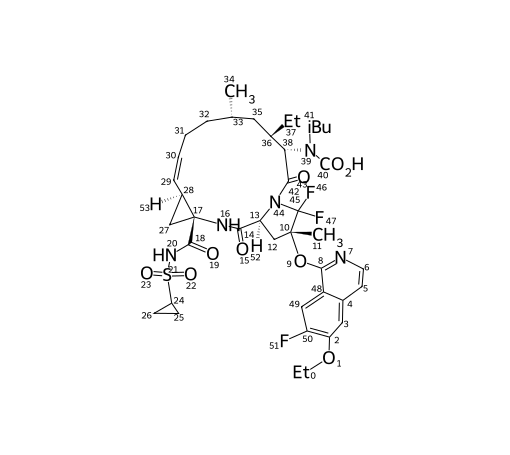 CCOc1cc2ccnc(O[C@]3(C)C[C@H]4C(=O)N[C@]5(C(=O)NS(=O)(=O)C6CC6)C[C@H]5/C=C\CC[C@H](C)C[C@@H](CC)[C@H](N(C(=O)O)C(C)CC)C(=O)N4C3(F)F)c2cc1F